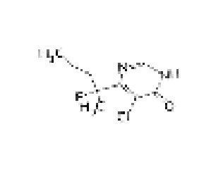 CCCC(C)(F)c1nc[nH]c(=O)c1Cl